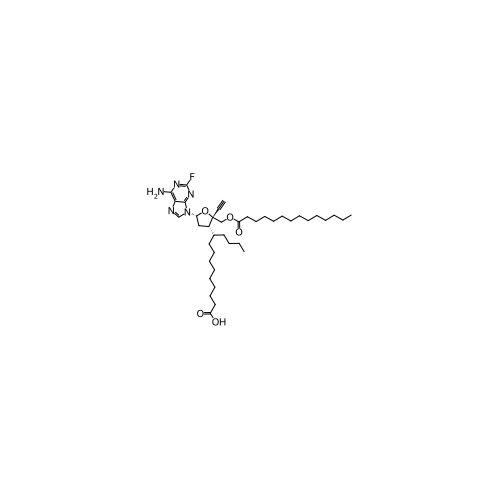 C#C[C@]1(COC(=O)CCCCCCCCCCCCC)O[C@@H](n2cnc3c(N)nc(F)nc32)C[C@H]1C(CCCC)CCCCCCCCC(=O)O